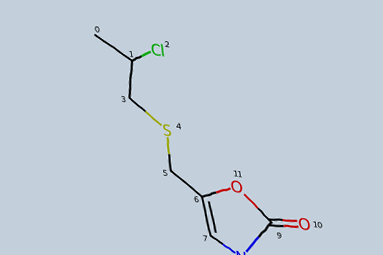 CC(Cl)CSCc1c[nH]c(=O)o1